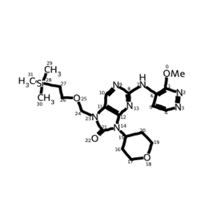 COc1nnccc1Nc1ncc2c(n1)n(C1CCOCC1)c(=O)n2COCC[Si](C)(C)C